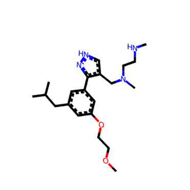 CNCCN(C)Cc1c[nH]nc1-c1cc(CC(C)C)cc(OCCOC)c1